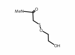 CNC(=O)CSOCCO